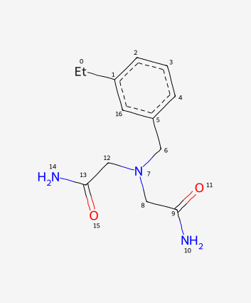 CCc1cccc(CN(CC(N)=O)CC(N)=O)c1